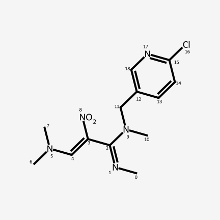 C/N=C(/C(=C/N(C)C)[N+](=O)[O-])N(C)Cc1ccc(Cl)nc1